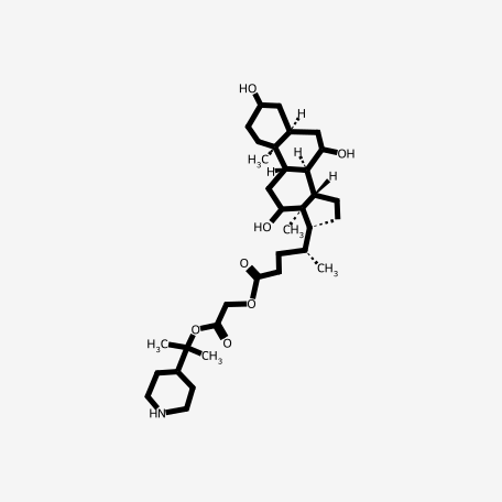 C[C@H](CCC(=O)OCC(=O)OC(C)(C)C1CCNCC1)[C@H]1CC[C@H]2[C@@H]3C(O)C[C@@H]4CC(O)CC[C@]4(C)[C@H]3CC(O)[C@]12C